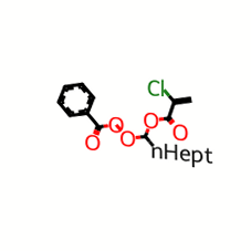 C=C(Cl)C(=O)OC(CCCCCCC)OOC(=O)c1ccccc1